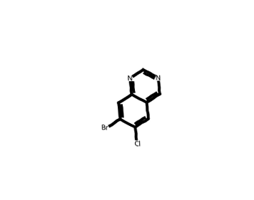 Clc1cc2cn[c]nc2cc1Br